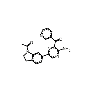 CC(=O)N1CCc2ccc(-c3cnc(N)c(C(=O)c4cccnc4)n3)cc21